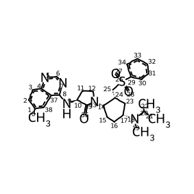 Cc1ccc2ncnc(N[C@H]3CCN([C@H]4CC[C@@H](N(C)C(C)C)C[C@H]4CS(=O)(=O)c4ccccc4)C3=O)c2c1